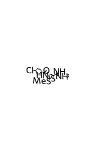 CSc1sc(C(=N)N)cc1NC(=O)c1ccc(Cl)cc1